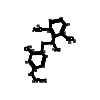 CCCCCOc1ccc(CN(C(C)=O)c2c(OC(C)=O)cccc2[N+](=O)[O-])c(Cl)c1